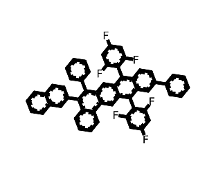 Fc1cc(F)c(-c2c3ccc(-c4ccccc4)cc3c(-c3c(F)cc(F)cc3F)c3cc4c(cc23)c(-c2ccccc2)c(-c2ccc3ccccc3c2)c2ccccc24)c(F)c1